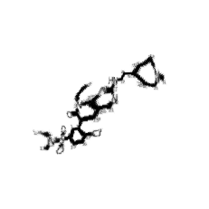 CCn1c(=O)c(-c2cc(S(=O)(=O)N(C)C)ccc2Cl)cc2cnc(NCCC3CCN(C)CC3)nc21